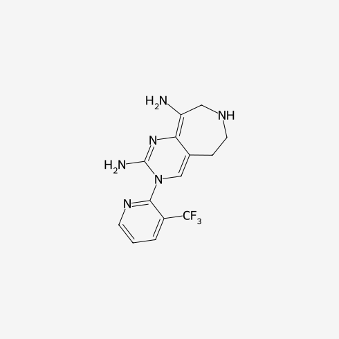 NC1=NC2=C(N)CNCCC2=CN1c1ncccc1C(F)(F)F